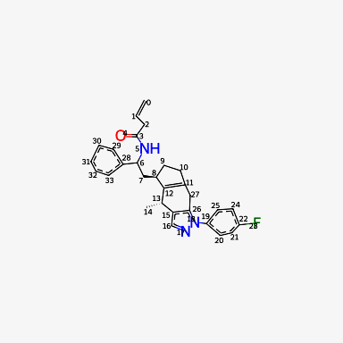 C=CCC(=O)NC(C[C@H]1CCC2=C1[C@@H](C)c1cnn(-c3ccc(F)cc3)c1C2)c1ccccc1